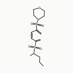 C=C(/C=C\C(=C)S(=O)(=O)N1CCOCC1)S(=O)(=O)N(C)CCC